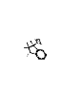 C[C@H]1c2ccccc2[C@@](C)(N)C1(C)C.Cl